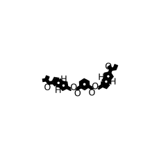 C=CC(=O)C1C[C@@H]2C3CC(CC3COC(=O)c3cccc(C(=O)OCC4C[C@@H]5C6CC(CC6C(=O)C(=C)C)[C@@H]5C4)c3)[C@@H]2C1